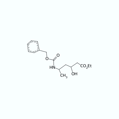 CCOC(=O)CC(O)CC(C)NC(=O)OCc1ccccc1